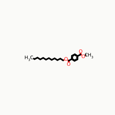 CCCCCCCCCCCCOC(=O)c1ccc(C(=O)OC)cc1